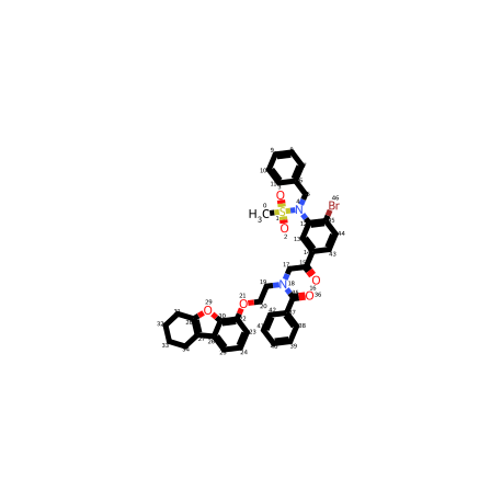 CS(=O)(=O)N(Cc1ccccc1)c1cc(C(=O)CN(CCOc2cccc3c4c(oc23)CCCC4)C(=O)c2ccccc2)ccc1Br